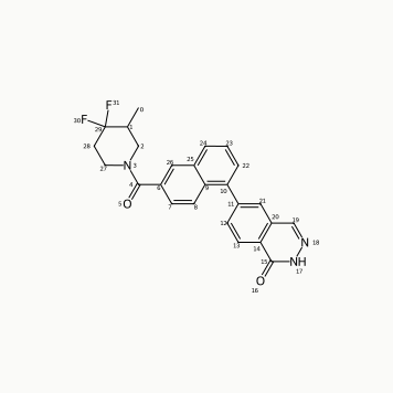 CC1CN(C(=O)c2ccc3c(-c4ccc5c(=O)[nH]ncc5c4)cccc3c2)CCC1(F)F